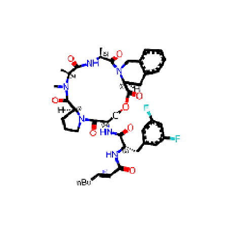 CCCC/C=C/C(=O)N[C@@H](Cc1cc(F)cc(F)c1)C(=O)N[C@H]1COC(=O)[C@@H]2Cc3ccccc3CN2C(=O)[C@H](C)NC(=O)[C@H](C)N(C)C(=O)[C@@H]2CCCN2C1=O